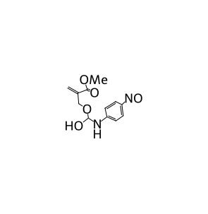 C=C(COC(O)Nc1ccc(N=O)cc1)C(=O)OC